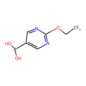 OB(O)c1cnc(OCC(F)(F)F)nc1